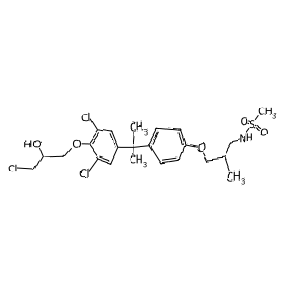 CC(CNS(C)(=O)=O)COc1ccc(C(C)(C)c2cc(Cl)c(OCC(O)CCl)c(Cl)c2)cc1